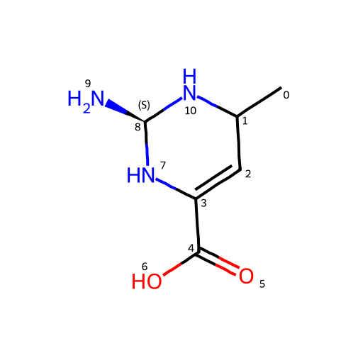 CC1C=C(C(=O)O)N[C@@H](N)N1